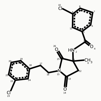 CC1(NC(=O)c2cccc(Cl)c2)CC(=O)N(CCc2cccc(Cl)c2)C1=O